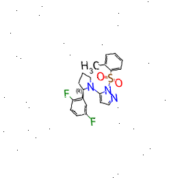 Cc1ccccc1S(=O)(=O)n1nccc1N1CCC[C@@H]1c1cc(F)ccc1F